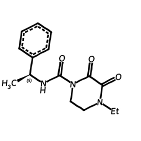 CCN1CCN(C(=O)N[C@@H](C)c2ccccc2)C(=O)C1=O